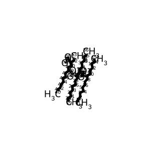 CCCCCCCCCC(CCCCCC)[N+](=O)[O-].CCCCCCCCCC(CCCCCCCC)[N+](=O)[O-].CCCCCCCCCCCC(CC)[N+](=O)[O-]